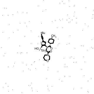 CC[C@@H](C(=O)N1CCCOCC1)N(c1cc(C#CC(C)(C)C)sc1C(=O)O)C(=O)[C@H]1CC[C@H](C)CC1